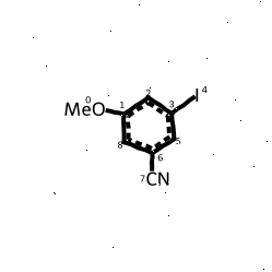 COc1cc(I)cc(C#N)c1